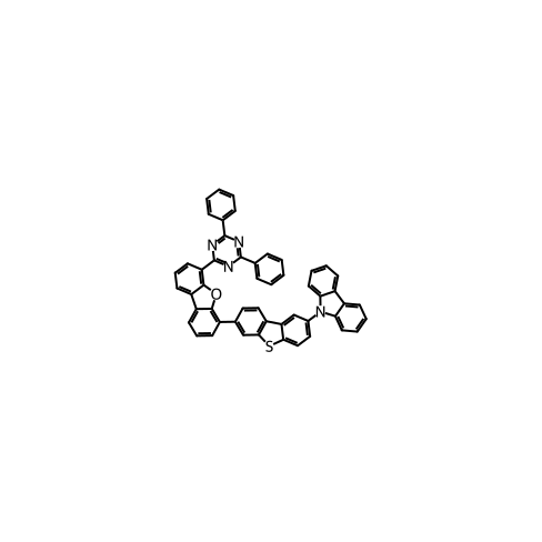 c1ccc(-c2nc(-c3ccccc3)nc(-c3cccc4c3oc3c(-c5ccc6c(c5)sc5ccc(-n7c8ccccc8c8ccccc87)cc56)cccc34)n2)cc1